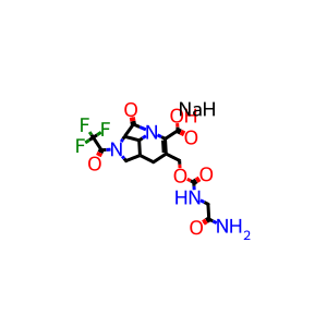 NC(=O)CNC(=O)OCC1=C(C(=O)O)N2C(=O)C3C2C(C1)CN3C(=O)C(F)(F)F.[NaH]